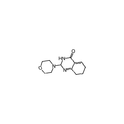 O=C1NC(N2CCOCC2)N=C2CCCC=C12